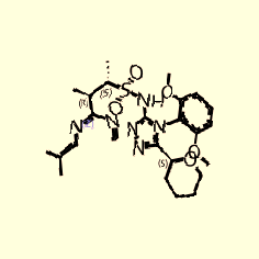 C=N/C(=N\C=C(C)C)[C@@H](C)[C@H](C)S(=O)(=O)Nc1nnc([C@@H]2CCCCO2)n1-c1c(OC)cccc1OC